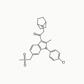 Cc1c(C(=O)CN2C3CCC2CC3)c2ccc(CS(C)(=O)=O)cc2n1-c1ccc(Cl)cc1